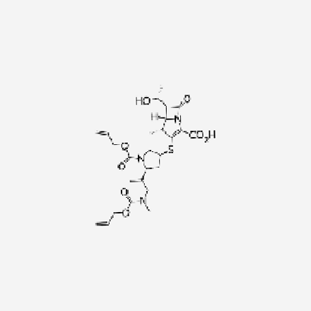 C=CCOC(=O)N(C)CC(=C)[C@@H]1C[C@H](SC2=C(C(=O)O)N3C(=O)[C@H]([C@@H](C)O)[C@H]3[C@H]2C)CN1C(=O)OCC=C